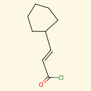 O=C(Cl)C=CC1CCCCC1